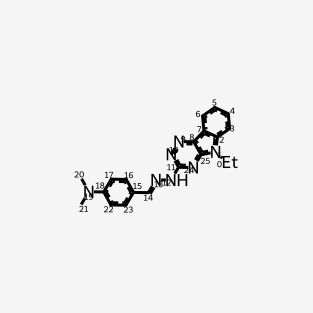 CCn1c2ccccc2c2nnc(NN=Cc3ccc(N(C)C)cc3)nc21